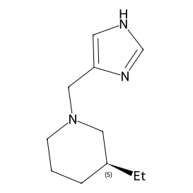 CC[C@H]1CCCN(Cc2c[nH]cn2)C1